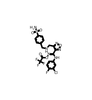 NS(=O)(=O)c1ccc(CNCc2nonc2C(=NOC(=O)C(F)(F)F)Nc2ccc(F)c(Cl)c2)cc1